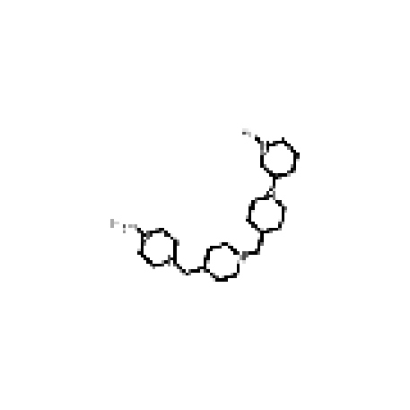 CCN1CCCC(N2CCC(CN3CCC(CN4CCN(C)CC4)CC3)CC2)C1